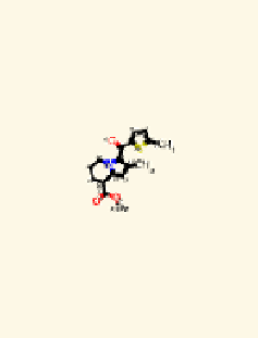 Cc1ccc(C(=O)c2c(C)cc3n2CCCC3C(=O)OC(C)C)s1